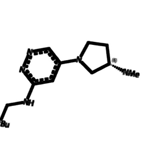 CN[C@H]1CCN(c2cnnc(NCC(C)(C)C)c2)C1